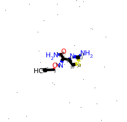 C#CCON=C(C(N)=O)c1csc(N)n1